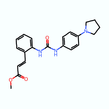 COC(=O)/C=C/c1ccccc1NC(=O)Nc1ccc(N2CCCC2)cc1